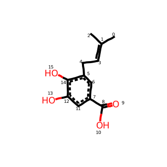 CC(C)=CCc1cc(C(=O)O)cc(O)c1O